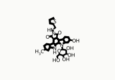 Cc1ccc2c(c1)[nH]c1c2c2c(c3c4ccc(O)cc4n(C4OC(CO)C(O)C(O)C4O)c13)C(=O)N(NCc1cccs1)C2=O